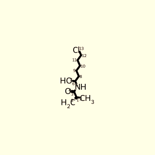 C=C(C)C(=O)NC(O)CCCCCCl